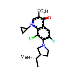 CN[C@@H](C)[C@@H]1CCN(c2c(F)cc3c(=O)c(C(=O)O)cn(C4CC4)c3c2Cl)C1